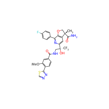 COc1cc(C(=O)NC[C@](O)(c2cc3c(c(-c4ccc(F)cc4)n2)OC[C@]3(C)C(N)=O)C(F)(F)F)ccc1-c1nncs1